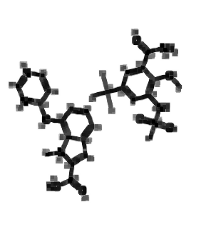 COc1c(NS(C)(=O)=O)cc(C(C)(C)C)cc1C(N)=O.Cn1c(C(=O)O)cc2cccc(Oc3ccncn3)c21